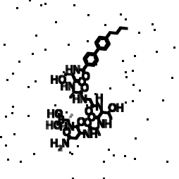 CCCCc1ccc(-c2ccc(C(=O)N[C@H](CO)C(=O)N[C@H](C)C(=O)NCC(=O)NC(C(=O)N[C@@H](C)C(=O)NC(CC(N)=O)C(=O)N[C@@H](C)B(O)O)C(C)O)cc2)cc1